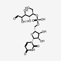 O=C[C@H](O)[C@@H](O)[C@@H](O)[C@@H](CO)OP(=O)(O)OC[C@H]1O[C@@H](n2ccc(=O)[nH]c2=O)[C@H](O)[C@@H]1O